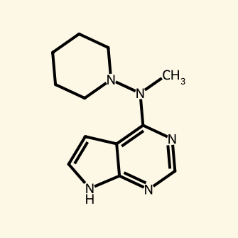 CN(c1ncnc2[nH]ccc12)N1CCCCC1